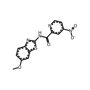 COc1ccc2nc(NC(=O)c3cc([N+](=O)[O-])ccn3)sc2c1